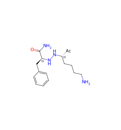 CC(=O)[C@H](CCCCN)NN[C@@H](Cc1ccccc1)C(N)=O